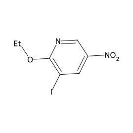 CCOc1ncc([N+](=O)[O-])cc1I